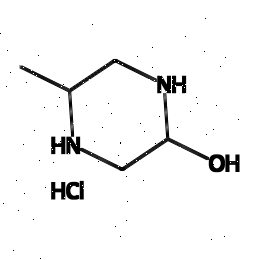 CC1CNC(O)CN1.Cl